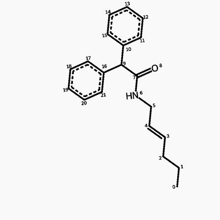 CCCC=CCNC(=O)C(c1ccccc1)c1ccccc1